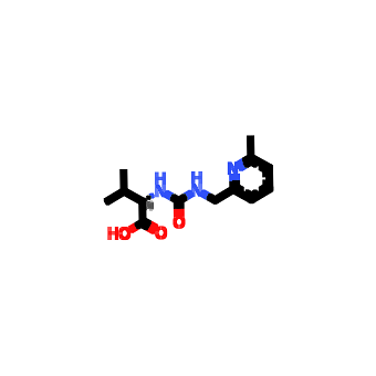 Cc1cccc(CNC(=O)N[C@H](C(=O)O)C(C)C)n1